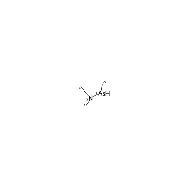 C[AsH]N(C)C